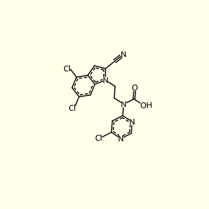 N#Cc1cc2c(Cl)cc(Cl)cc2n1CCN(C(=O)O)c1cc(Cl)ncn1